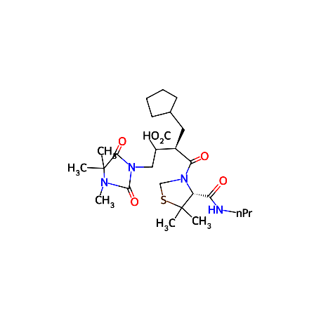 CCCNC(=O)[C@H]1N(C(=O)[C@H](CC2CCCC2)C(CN2C(=O)N(C)C(C)(C)C2=O)C(=O)O)CSC1(C)C